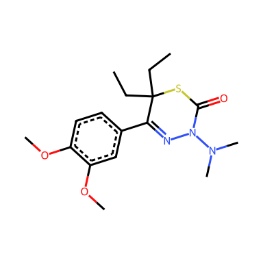 CCC1(CC)SC(=O)N(N(C)C)N=C1c1ccc(OC)c(OC)c1